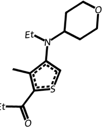 CCC(=O)c1scc(N(CC)C2CCOCC2)c1C